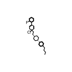 CCCCc1ccc([C@H]2CC[C@H](CCC3(Cl)C=CC(c4ccccc4F)=CC3)CC2)cc1